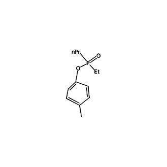 CCCP(=O)(CC)Oc1ccc(C)cc1